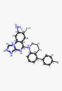 Cc1ccc(-c2cccc3c2CCCN3c2nc3nncn3c3cc(N)c(F)cc23)cc1